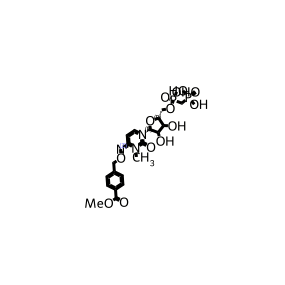 COC(=O)c1ccc(CO/N=c2/ccn([C@@H]3O[C@H](COP(=O)(O)CP(=O)(O)O)C(O)C3O)c(=O)n2C)cc1